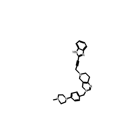 CN1CCN(c2ccc(CN3C=NC4=C(C3)CN(CC#Cc3nc5ccccc5[nH]3)CC4)cc2)CC1